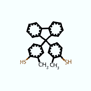 Cc1cc(C2(c3ccc(S)c(C)c3)c3ccccc3-c3ccccc32)ccc1S